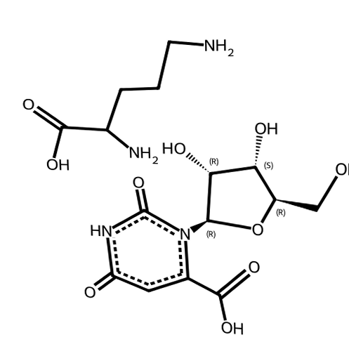 NCCCC(N)C(=O)O.O=C(O)c1cc(=O)[nH]c(=O)n1[C@@H]1O[C@H](CO)[C@@H](O)[C@H]1O